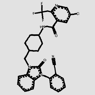 N#Cc1ccccc1-n1c(=O)n(CC2CCC(NC(=O)c3cc(Cl)cnc3C(F)(F)F)CC2)c2ccccc21